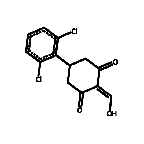 O=C1CC(c2c(Cl)cccc2Cl)CC(=O)C1=CO